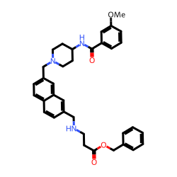 COc1cccc(C(=O)NC2CCN(Cc3ccc4ccc(CNCCC(=O)OCc5ccccc5)cc4c3)CC2)c1